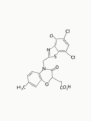 Cc1ccc2c(c1)OC(CC(=O)O)C(=O)N2Cc1nc2c(Cl)c(Cl)cc(Cl)c2s1